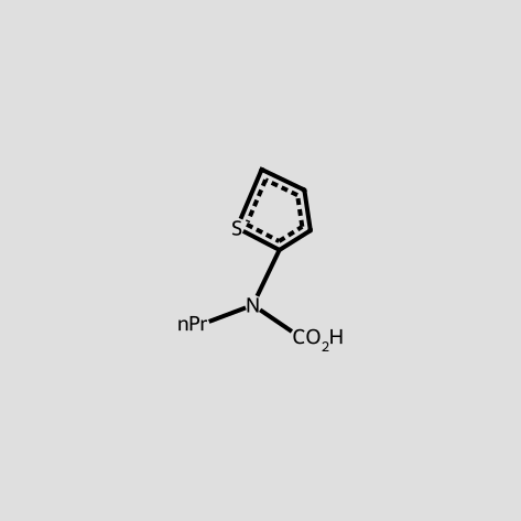 CCCN(C(=O)O)c1cccs1